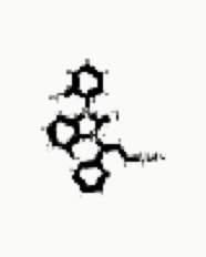 CNCCC(c1ccccc1)n1c(=O)n(-c2ccccc2F)c2cccc(F)c21